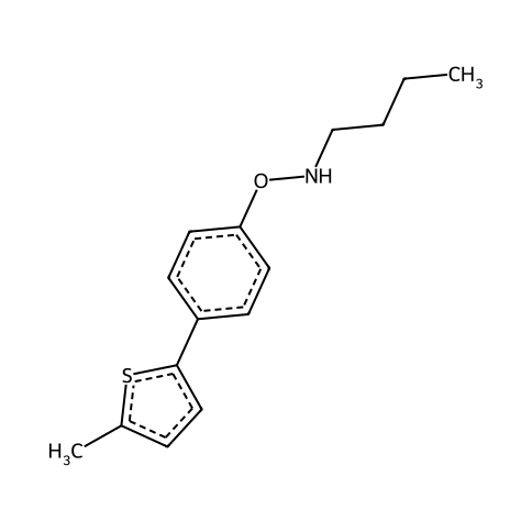 CCCCNOc1ccc(-c2ccc(C)s2)cc1